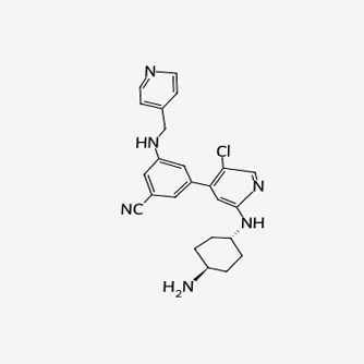 N#Cc1cc(NCc2ccncc2)cc(-c2cc(N[C@H]3CC[C@H](N)CC3)ncc2Cl)c1